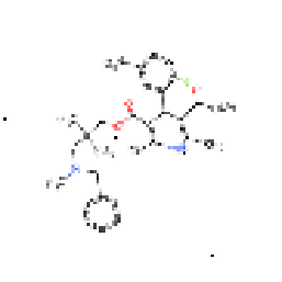 CCC1=C(C(=O)OCC(C)(C)CN(C)Cc2ccccc2)C(c2cc([N+](=O)[O-])ccc2F)C(C(=O)OC)=C(C)N1